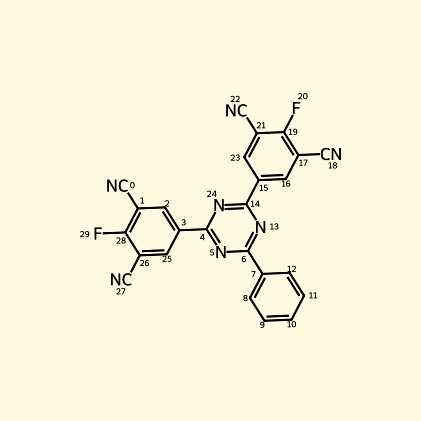 N#Cc1cc(-c2nc(-c3ccccc3)nc(-c3cc(C#N)c(F)c(C#N)c3)n2)cc(C#N)c1F